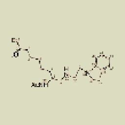 CCC(=O)CCCCCC(CNCCN1CCc2ccccc21)NC(C)=O